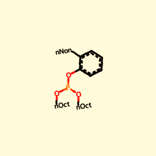 CCCCCCCCCc1ccccc1OP(OCCCCCCCC)OCCCCCCCC